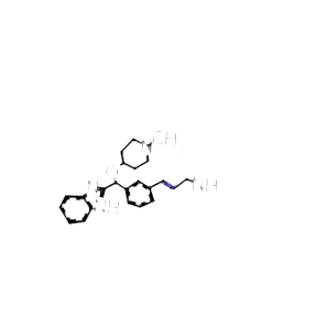 CN1CCC(OC(c2cccc(/C=C/CN)c2)c2nc3ccccc3[nH]2)CC1